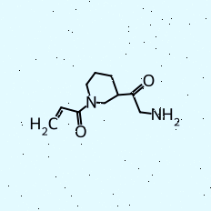 C=CC(=O)N1CCCC(C(=O)CN)C1